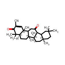 CC1(C)CC[C@]2(C)CC[C@]3(C)C(C(=O)CC4[C@@]5(C)C=C(C#N)C(=O)C(C)(C)[C@@H]5CC[C@]43C)C2C1